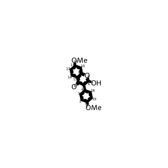 COc1ccc(-c2c(O)oc3cc(OC)ccc3c2=O)cc1